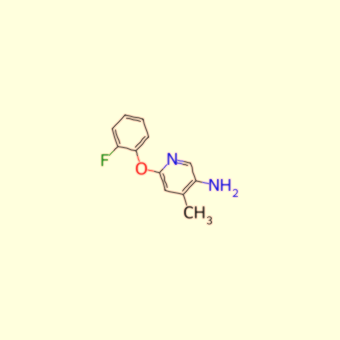 Cc1cc(Oc2ccccc2F)ncc1N